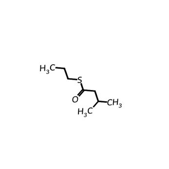 CCCSC(=O)CC(C)C